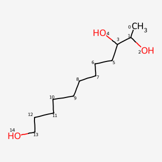 CC(O)C(O)CCCCCCCCCO